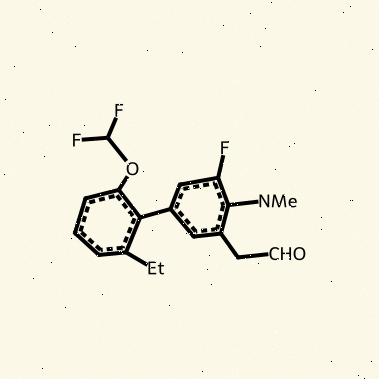 CCc1cccc(OC(F)F)c1-c1cc(F)c(NC)c(CC=O)c1